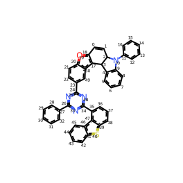 C1=CC2C(c3ccccc3N2c2ccccc2)c2c1oc1ccc(-c3nc(-c4ccccc4)nc(-c4cccc5sc6ccccc6c45)n3)cc21